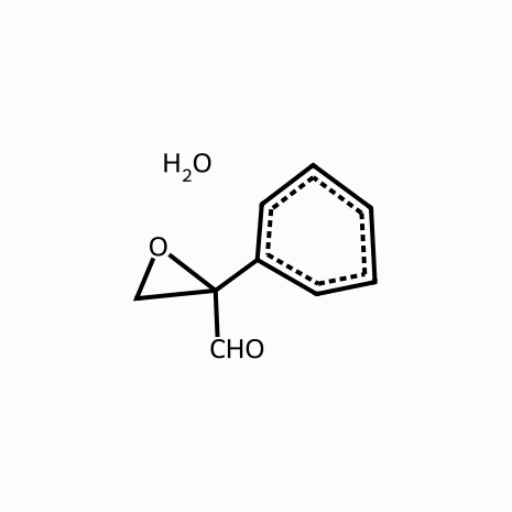 O.O=CC1(c2ccccc2)CO1